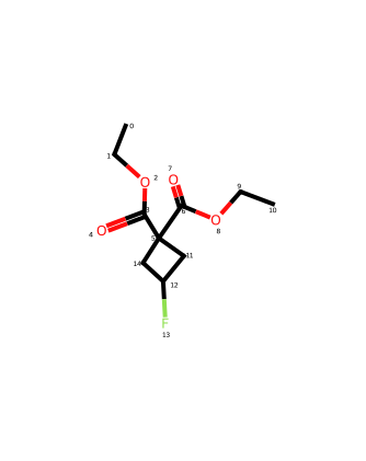 CCOC(=O)C1(C(=O)OCC)CC(F)C1